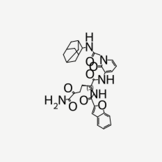 NC(=O)C(=O)CC[C@H](NC(=O)c1cc2ccccc2o1)C(=O)Nc1cccn(CC(=O)NC2C3CC4CC(C3)CC2C4)c1=O